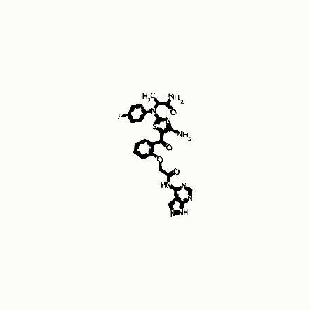 CC(C(N)=O)N(c1ccc(F)cc1)c1nc(N)c(C(=O)c2ccccc2OCC(=O)Nc2ncnc3[nH]ncc23)s1